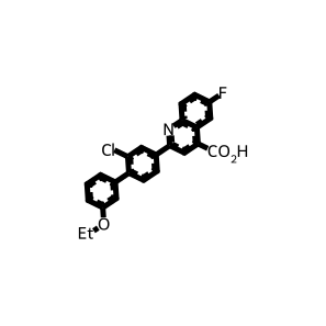 CCOc1cccc(-c2ccc(-c3cc(C(=O)O)c4cc(F)ccc4n3)cc2Cl)c1